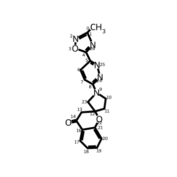 Cc1noc(-c2ccc(N3CCC4(CC(=O)c5ccccc5O4)C3)nn2)n1